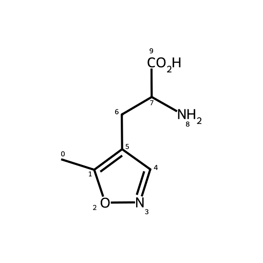 Cc1oncc1CC(N)C(=O)O